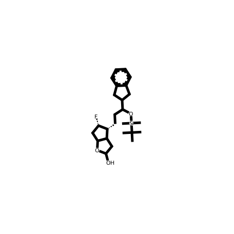 CC(C)(C)[Si](C)(C)OC(CC[C@@H]1C2CC(O)OC2C[C@@H]1F)C1Cc2ccccc2C1